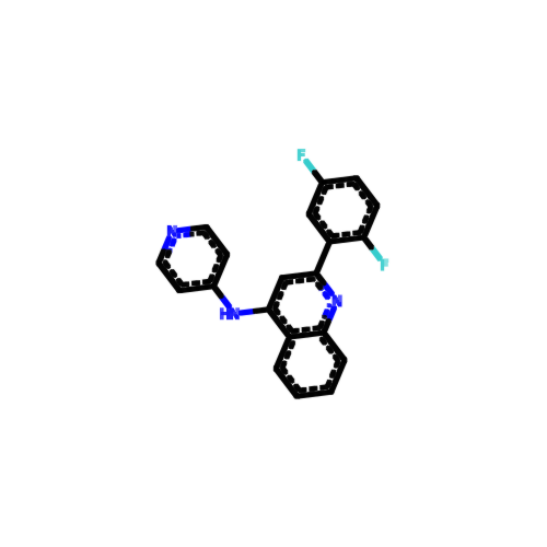 Fc1ccc(F)c(-c2cc(Nc3ccncc3)c3ccccc3n2)c1